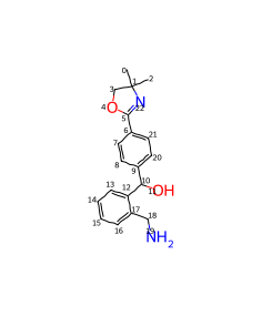 CC1(C)COC(c2ccc(C(O)c3ccccc3CN)cc2)=N1